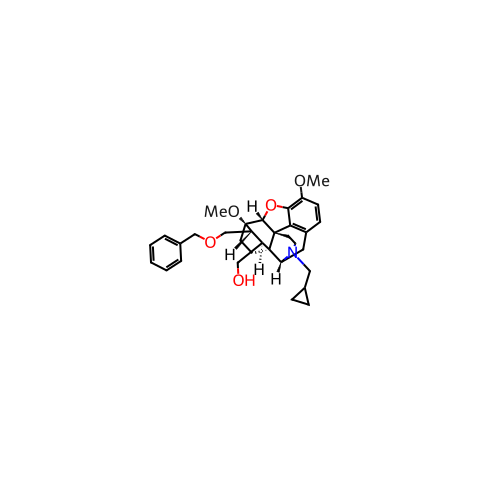 COc1ccc2c3c1O[C@H]1[C@@]4(OC)CC[C@@]5([C@@H](CO)[C@@H]4COCc4ccccc4)[C@@H](C2)N(CC2CC2)CC[C@]315